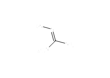 NC(N)=NN=O.[Au]